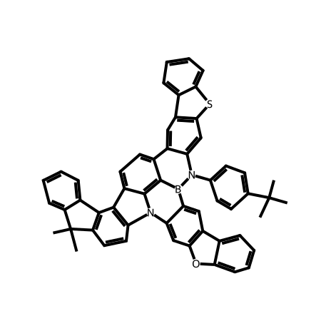 CC(C)(C)c1ccc(N2B3c4cc5c(cc4-n4c6ccc7c(c6c6ccc(c3c64)-c3cc4c(cc32)sc2ccccc24)-c2ccccc2C7(C)C)oc2ccccc25)cc1